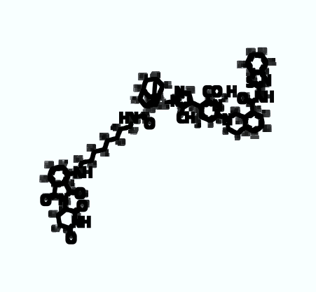 Cc1c(-c2ccc(N3CCc4cccc(C(=O)Nc5nc6ccccc6s5)c4C3)nc2C(=O)O)cnn1C[C@]12CC3CC(C1)C[C@](C(=O)NCCCCCCCCNc1cccc4c1C(=O)N(C1CCC(=O)NC1=O)C4=O)(C3)C2